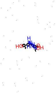 CCCN1Cc2[nH]c(-c3n[nH]c4cc(-c5ccc(O)cc5CC)ccc34)nc2C[C@H]1C(=O)O